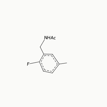 CC(=O)NCc1cc(C)ccc1F